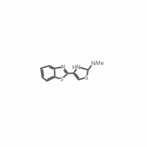 CNC1NC(c2nc3ccccc3s2)=CS1